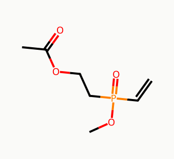 C=CP(=O)(CCOC(C)=O)OC